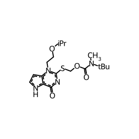 CC(C)OCCn1c(SCOC(=O)N(C)C(C)(C)C)nc(=O)c2[nH]ccc21